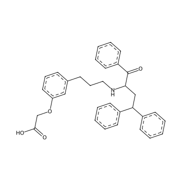 O=C(O)COc1cccc(CCCNC(CC(c2ccccc2)c2ccccc2)C(=O)c2ccccc2)c1